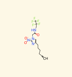 C#CCCCCc1cn(CC(=O)NCC(F)(F)C(F)(F)F)c([N+](=O)[O-])n1